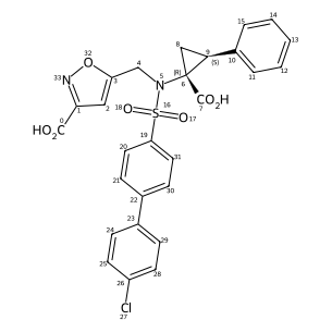 O=C(O)c1cc(CN([C@]2(C(=O)O)C[C@H]2c2ccccc2)S(=O)(=O)c2ccc(-c3ccc(Cl)cc3)cc2)on1